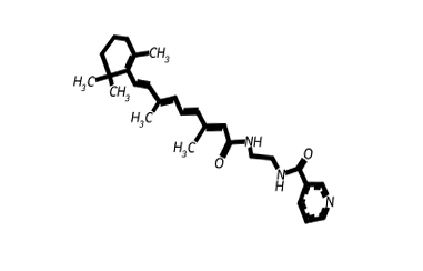 CC1=C(/C=C/C(C)=C/C=C/C(C)=C/C(=O)NCCNC(=O)c2cccnc2)C(C)(C)CCC1